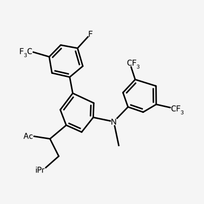 CC(=O)C(CC(C)C)c1cc(-c2cc(F)cc(C(F)(F)F)c2)cc(N(C)c2cc(C(F)(F)F)cc(C(F)(F)F)c2)c1